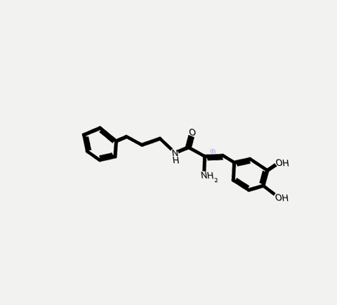 N/C(=C\c1ccc(O)c(O)c1)C(=O)NCCCc1ccccc1